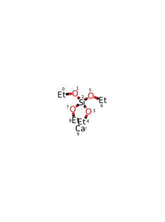 CCO[Si](OCC)(OCC)OCC.[Ca]